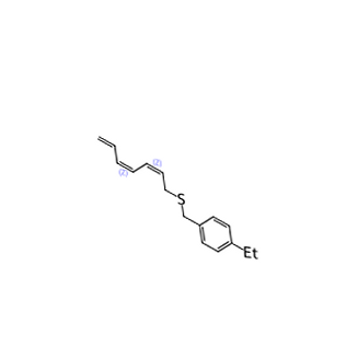 C=C/C=C\C=C/CSCc1ccc(CC)cc1